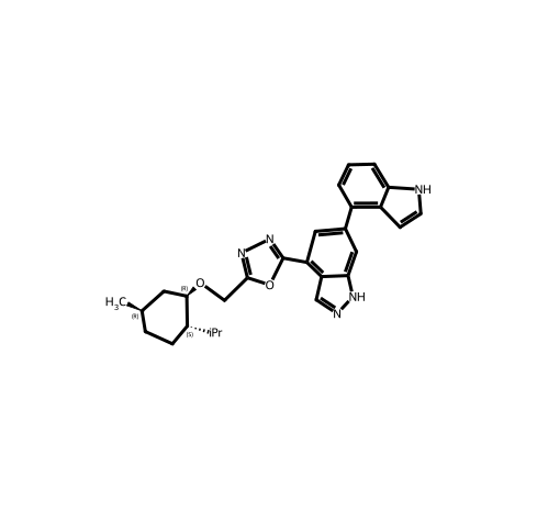 CC(C)[C@@H]1CC[C@@H](C)C[C@H]1OCc1nnc(-c2cc(-c3cccc4[nH]ccc34)cc3[nH]ncc23)o1